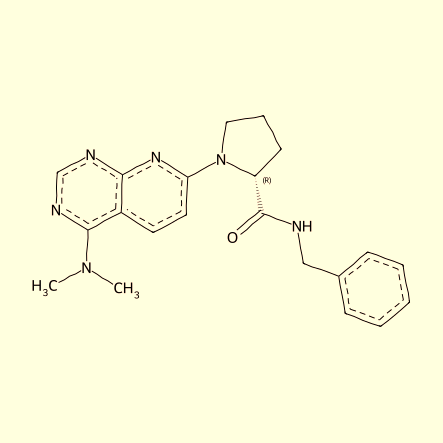 CN(C)c1ncnc2nc(N3CCC[C@@H]3C(=O)NCc3ccccc3)ccc12